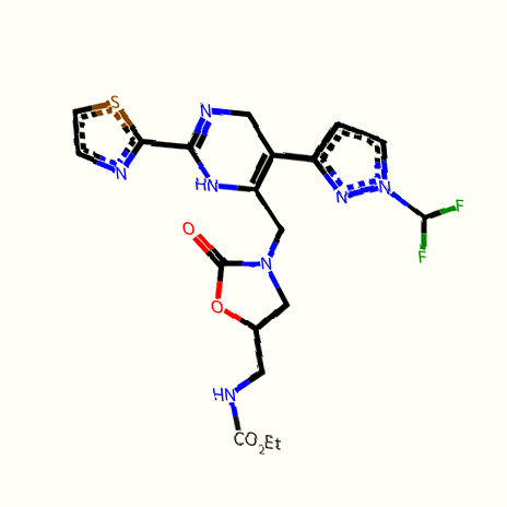 CCOC(=O)NCC1CN(CC2=C(c3ccn(C(F)F)n3)CN=C(c3nccs3)N2)C(=O)O1